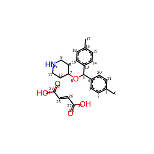 Cc1ccc(C(OC2CCNCC2)c2ccc(C)cc2)cc1.O=C(O)C=CC(=O)O